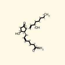 CCCCC[C@H](O)/C=C/[C@H]1C(=O)C[C@H](O)[C@@H]1C/C=C\CCCC(N)=O